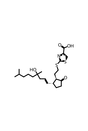 CC(C)CCCC(C)(O)C/C=C/[C@H]1CCC(=O)[C@@H]1CCSc1nc(C(=O)O)cs1